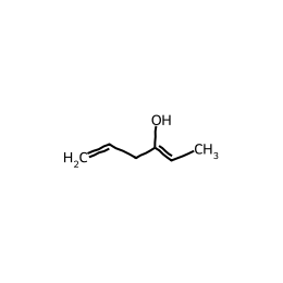 C=CCC(O)=CC